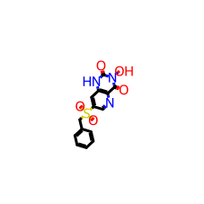 O=c1[nH]c2cc(S(=O)(=O)Cc3ccccc3)cnc2c(=O)n1O